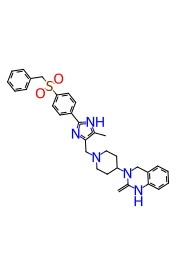 C=C1Nc2ccccc2CN1C1CCN(Cc2nc(-c3ccc(S(=O)(=O)Cc4ccccc4)cc3)[nH]c2C)CC1